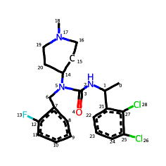 CC(NC(=O)N(Cc1ccccc1F)C1CCN(C)CC1)c1cccc(Cl)c1Cl